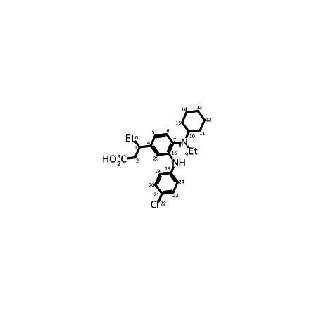 CCC(CC(=O)O)c1ccc(N(CC)C2CCCCC2)c(Nc2ccc(Cl)cc2)c1